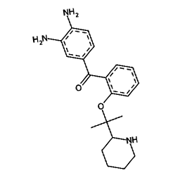 CC(C)(Oc1ccccc1C(=O)c1ccc(N)c(N)c1)C1CCCCN1